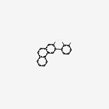 Oc1cc2ccc3ccccc3c2cc1-c1cccc(Cl)c1F